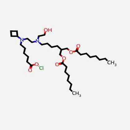 CCCCCCCC(=O)OCC(CCCCN(CCO)CCN(CCCCCC(=O)OCl)C1CCC1)COC(=O)CCCCCCC